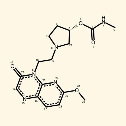 CNC(=O)O[C@H]1CCN(CCn2c(=O)cnc3ccc(OC)nc32)C1